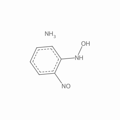 N.O=Nc1ccccc1NO